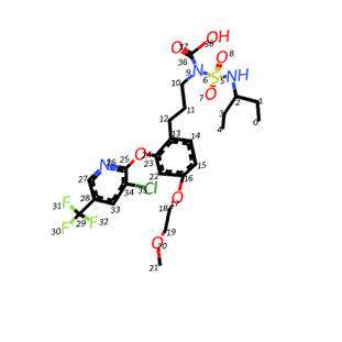 CCC(CC)NS(=O)(=O)N(CCCc1ccc(OCCOC)cc1Oc1ncc(C(F)(F)F)cc1Cl)C(=O)O